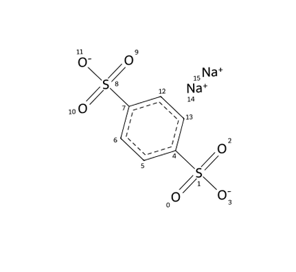 O=S(=O)([O-])c1ccc(S(=O)(=O)[O-])cc1.[Na+].[Na+]